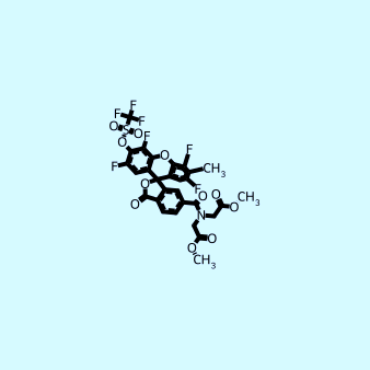 COC(=O)CN(CC(=O)OC)C(=O)c1ccc2c(c1)C1(OC2=O)c2cc(F)c(C)c(F)c2Oc2c1cc(F)c(OS(=O)(=O)C(F)(F)F)c2F